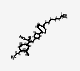 CCCCCCCCC1CCC(C2CCC(CC(C(=O)O)c3ccc(CCC)c(F)c3)CC2)CC1